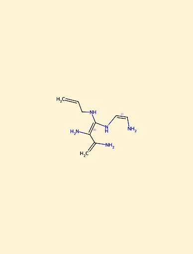 C=CCN/C(N/C=C\N)=C(\N)C(=C)N